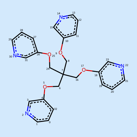 c1cncc(OCC(COc2cccnc2)(COc2cccnc2)COc2cccnc2)c1